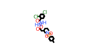 Cc1ccc(S(=O)(=O)N2CCCC(CC(=O)ONNC(=O)c3ccc(Cl)cc3Cl)C2)cc1